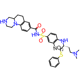 CN(C)CC[C@H](CSc1ccccc1)Nc1ccc(S(=O)(=O)NC(=O)c2ccc3c(c2)CCC2CNCCN32)cc1[N+](=O)[O-]